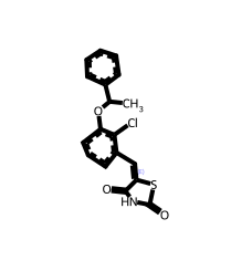 CC(Oc1cccc(/C=C2/SC(=O)NC2=O)c1Cl)c1ccccc1